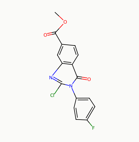 COC(=O)c1ccc2c(=O)n(-c3ccc(F)cc3)c(Cl)nc2c1